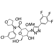 CO[C@@H]1[C@@H](n2cc(-c3cc(F)c(F)c(F)c3)nn2)[C@@H](O)[C@@H](CO)O[C@H]1C(=O)N(c1cccc(Cl)c1)[C@H]1COC[C@@H]1O